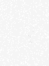 Cc1ccc(C(=O)Cn2ncc(Cl)c(Cl)c2=O)cc1